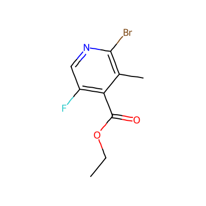 CCOC(=O)c1c(F)cnc(Br)c1C